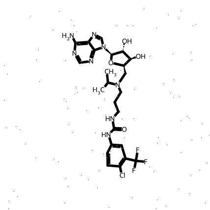 CC(C)N(CCCNC(=O)Nc1ccc(Cl)c(C(F)(F)F)c1)C[C@H]1O[C@@H](n2cnc3c(N)ncnc32)[C@H](O)[C@H]1O